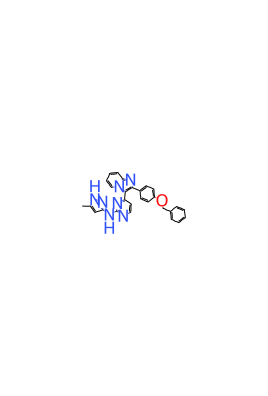 Cc1cc(Nc2nccc(-c3c(-c4ccc(OCc5ccccc5)cc4)nc4ccccn34)n2)n[nH]1